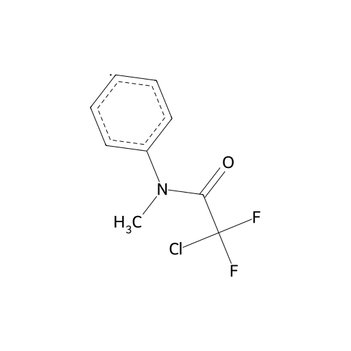 CN(C(=O)C(F)(F)Cl)c1cc[c]cc1